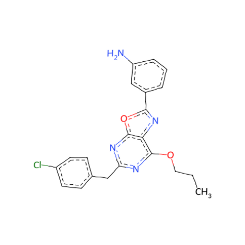 CCCOc1nc(Cc2ccc(Cl)cc2)nc2oc(-c3cccc(N)c3)nc12